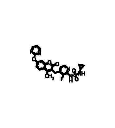 Cc1c(Cc2ccnc(NS(=O)(=O)NC3CC3)c2F)c(=O)oc2cc(Oc3ncccn3)ccc12